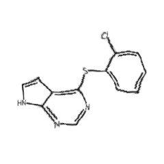 Clc1ccccc1Sc1ncnc2[nH]ccc12